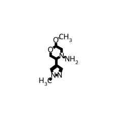 COC1CN(N)C(c2cnn(C)c2)CO1